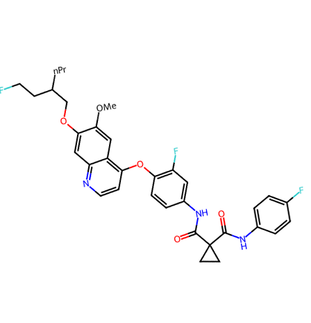 CCCC(CCF)COc1cc2nccc(Oc3ccc(NC(=O)C4(C(=O)Nc5ccc(F)cc5)CC4)cc3F)c2cc1OC